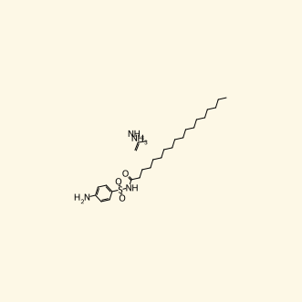 C=CC.CCCCCCCCCCCCCCCCCC(=O)NS(=O)(=O)c1ccc(N)cc1.N.N